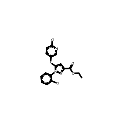 CCOC(=O)c1cc(Sc2ccc(Cl)nc2)n(-c2ccccc2Cl)n1